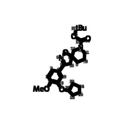 COc1ccc(C2=NOC3(CCCN(C(=O)OC(C)(C)C)C3)C2)cc1OC1CCCC1